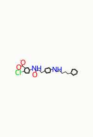 COC(=O)c1cc(NC(=O)CCc2ccc(NCCCCCc3ccccc3)cc2)ccc1Cl